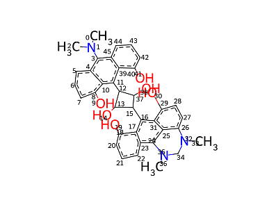 CN(C)c1c2cccc(O)c2c(C2C(O)C(c3c4c(O)cccc4c4c5c(ccc(O)c35)N(C)CN4C)C2O)c2c(O)cccc12